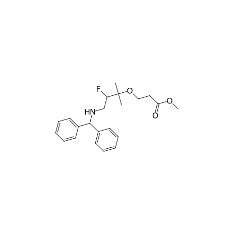 COC(=O)CCOC(C)(C)C(F)CNC(c1ccccc1)c1ccccc1